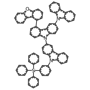 c1ccc([Si](c2ccccc2)(c2ccccc2)c2cccc(-n3c4ccccc4c4cc(-n5c6ccc(-n7c8ccccc8c8ccccc87)cc6c6c(-c7cccc8oc9ccccc9c78)cccc65)ccc43)c2)cc1